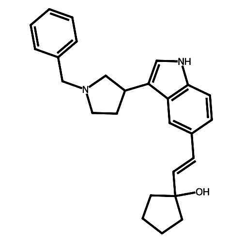 OC1(C=Cc2ccc3[nH]cc(C4CCN(Cc5ccccc5)C4)c3c2)CCCC1